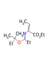 C/C=C(\N=C(/CC)OC(C)(C)CC)C(=O)OCC